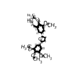 COc1cc([C@@H]2CC[C@@H](c3cc(OC)c(OC)c(OC)c3)O2)cc(I)c1OC(C)O